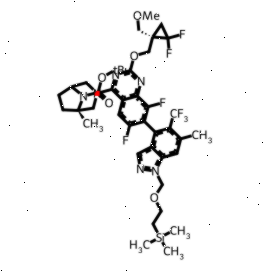 COC[C@]1(COc2nc(N3CC4CC[C@@](C)(C3)N4C(=O)OC(C)(C)C)c3cc(F)c(-c4c(C(F)(F)F)c(C)cc5c4cnn5COCC[Si](C)(C)C)c(F)c3n2)CC1(F)F